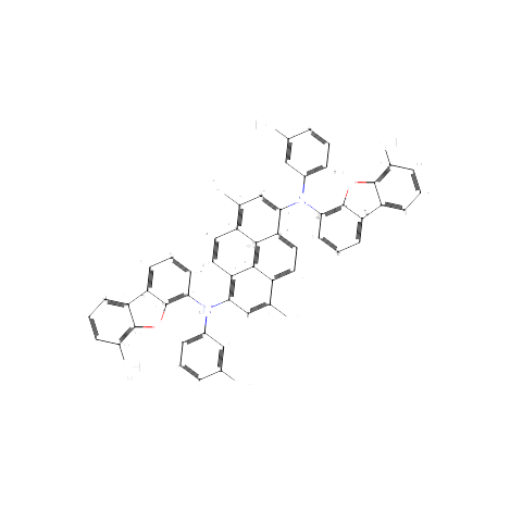 Cc1cccc(N(c2cc(C(C)C)c3ccc4c(N(c5cccc(C)c5)c5cccc6c5oc5c(C)cccc56)cc(C(C)C)c5ccc2c3c54)c2cccc3c2oc2c(C)cccc23)c1